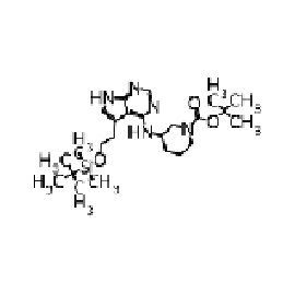 CC(C)(C)OC(=O)N1CCCC(Nc2ncnc3[nH]cc(CCO[Si](C)(C)C(C)(C)C)c23)C1